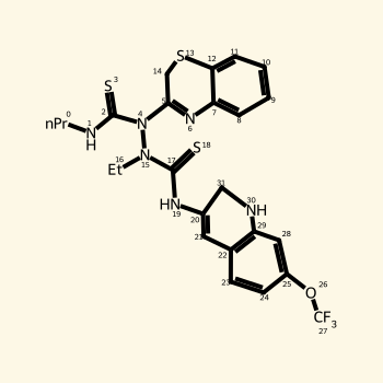 CCCNC(=S)N(C1=Nc2ccccc2SC1)N(CC)C(=S)NC1=Cc2ccc(OC(F)(F)F)cc2NC1